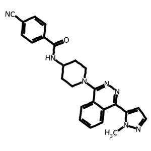 Cn1nccc1-c1nnc(N2CCC(NC(=O)c3ccc(C#N)cc3)CC2)c2ccccc12